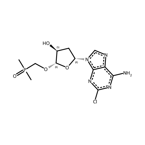 CP(C)(=O)CO[C@H]1O[C@@H](n2cnc3c(N)nc(Cl)nc32)C[C@@H]1O